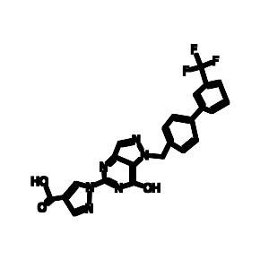 O=C(O)c1cnn(-c2nc(O)c3c(cnn3Cc3ccc(-c4cccc(C(F)(F)F)c4)cc3)n2)c1